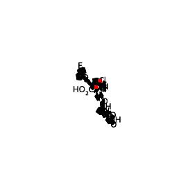 Cc1nc2c(NCC(=O)N3CCN(CCn4c(C(=O)O)c(CCCOc5cccc6cc(F)ccc56)c5ccc(Cl)c(-c6c(C)nn(C)c6C)c54)CC3)cccc2cc1N1CCC(=O)NC1=O